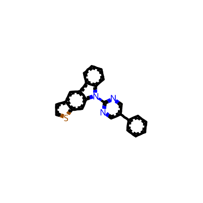 c1ccc(-c2cnc(-n3c4ccccc4c4cc5ccsc5cc43)nc2)cc1